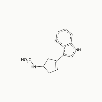 O=C(O)NC1CC=C(c2c[nH]c3cccnc23)C1